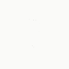 CC[N+](CC)(CC)CCOC(=O)C1C[C@H]2CCC1C2